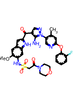 COc1cc2cc(C(=O)c3cnn(-c4cnc(Oc5ccccc5F)cc4C)c3N)[nH]c2cc1NS(=O)(=O)CC(=O)N1CCOCC1